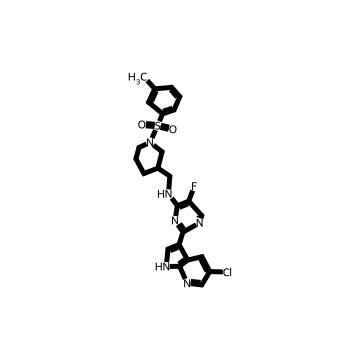 Cc1cccc(S(=O)(=O)N2CCCC(CNc3nc(-c4c[nH]c5ncc(Cl)cc45)ncc3F)C2)c1